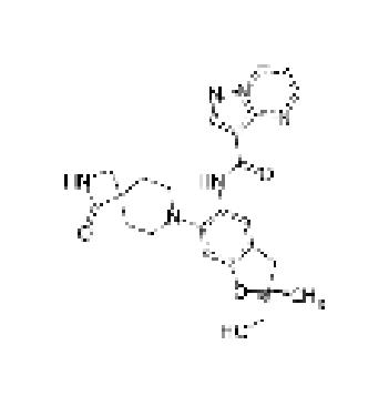 C[C@]1(CO)Cc2cc(NC(=O)c3cnn4cccnc34)c(N3CCC4(CC3)CNC4=O)cc2O1